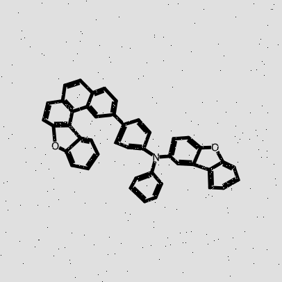 c1ccc(N(c2ccc(-c3ccc4ccc5ccc6oc7ccccc7c6c5c4c3)cc2)c2ccc3oc4ccccc4c3c2)cc1